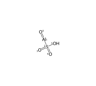 [O]=[Al][S](=O)(=O)O